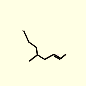 [CH2]CCC(C)C/C=C/C